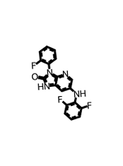 O=c1[nH]c2cc(Nc3c(F)cccc3F)cnc2n1-c1ccccc1F